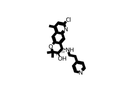 Cc1cc(Cl)nc2cc3c(cc12)OC(C)(C)[C@H](O)[C@H]3NCCc1ccncc1